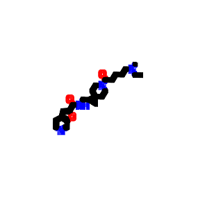 CCN(C)CCCCC(=O)N1CCC2(CC1)CC2CNC(=O)c1cc2ccncc2o1